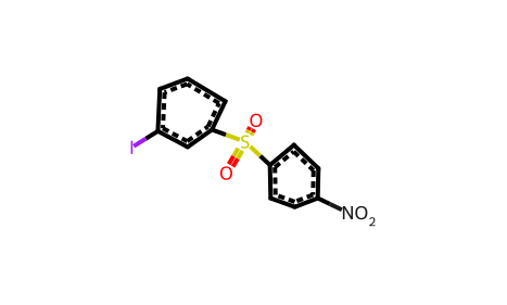 O=[N+]([O-])c1ccc(S(=O)(=O)c2cccc(I)c2)cc1